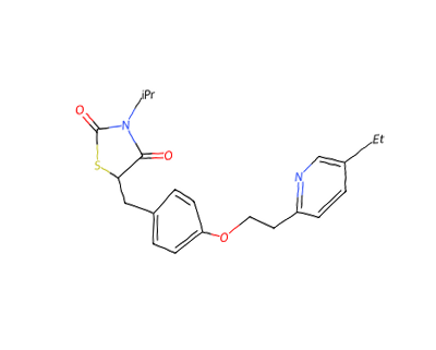 CCc1ccc(CCOc2ccc(CC3SC(=O)N(C(C)C)C3=O)cc2)nc1